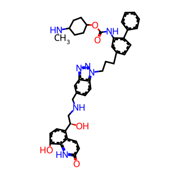 CNC1CCC(OC(=O)Nc2cc(CCCn3nnc4cc(CNC[C@@H](O)c5ccc(O)c6[nH]c(=O)ccc56)ccc43)ccc2-c2ccccc2)CC1